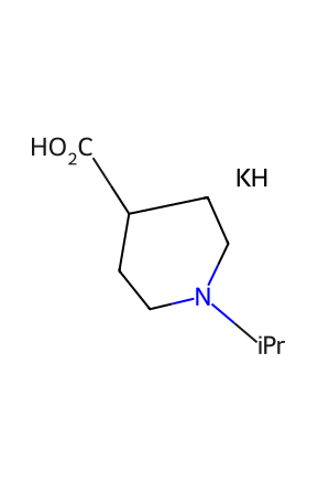 CC(C)N1CCC(C(=O)O)CC1.[KH]